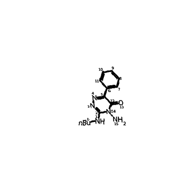 CCCCNc1nnc(-c2ccccc2)c(=O)n1N